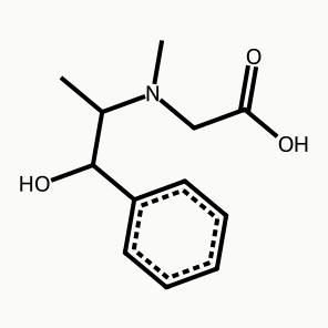 CC(C(O)c1ccccc1)N(C)CC(=O)O